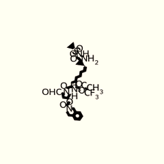 CC(C)(OC(=O)N[C@@H](CCCCC/C=C\[C@@H]1C[C@]1(N)C(=O)NS(=O)(=O)C1CC1)C(=O)N1C[C@H](OC(=O)N2CCc3ccccc3C2)C[C@H]1C=O)C(F)(F)F